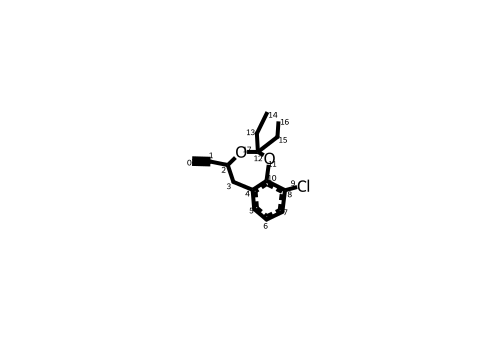 C#CC1Cc2cccc(Cl)c2OC(CC)(CC)O1